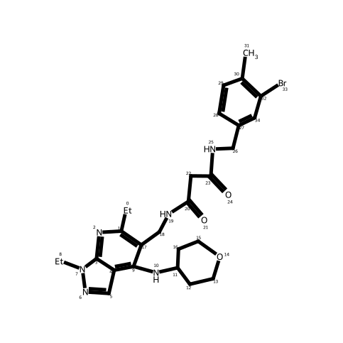 CCc1nc2c(cnn2CC)c(NC2CCOCC2)c1CNC(=O)CC(=O)NCc1ccc(C)c(Br)c1